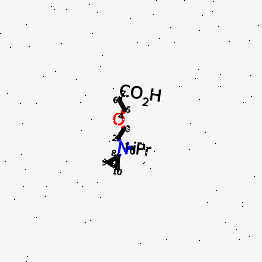 CC(C)N(CCOCCC(=O)O)C1CC1